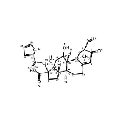 C[C@]12CC(C=O)C(=O)C=C1CC[C@@H]1[C@@H]2C(O)C[C@@]2(C)[C@H]1CCC2(OC(=O)c1ccco1)C(=O)O